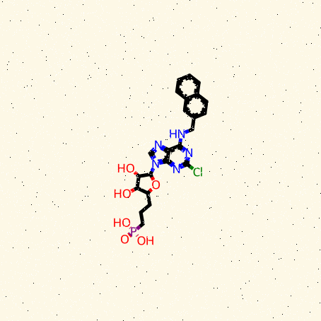 O=P(O)(O)CCCC1OC(n2cnc3c(NCc4ccc5ccccc5c4)nc(Cl)nc32)C(O)C1O